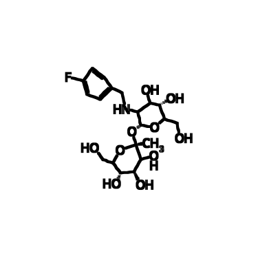 C[C@]1(O[C@H]2OC(CO)[C@@H](O)C(O)C2NCc2ccc(F)cc2)OC(CO)[C@@H](O)[C@H](O)C1O